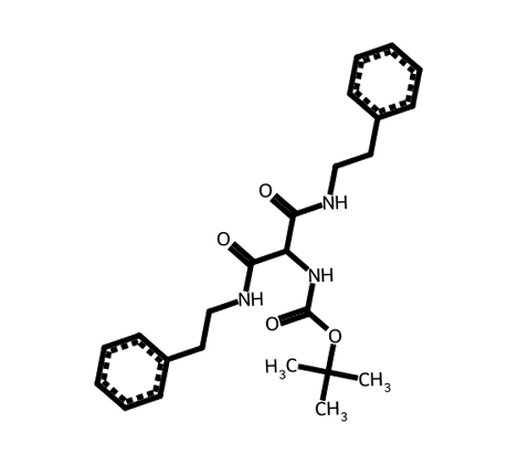 CC(C)(C)OC(=O)NC(C(=O)NCCc1ccccc1)C(=O)NCCc1ccccc1